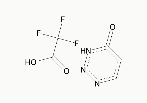 O=C(O)C(F)(F)F.O=c1ccnn[nH]1